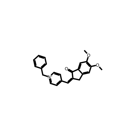 COc1cc2c(cc1OC)C(=O)C(=Cc1cc[n+](Cc3ccccc3)cc1)C2